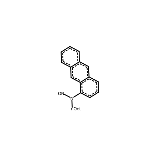 CCCCCCCCN(N=O)c1cccc2cc3ccccc3cc12